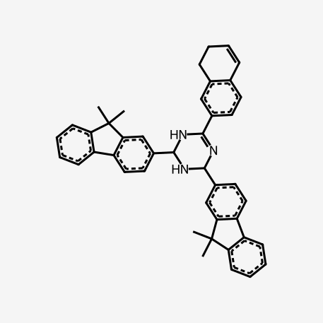 CC1(C)c2ccccc2-c2ccc(C3N=C(c4ccc5c(c4)CCC=C5)NC(c4ccc5c(c4)C(C)(C)c4ccccc4-5)N3)cc21